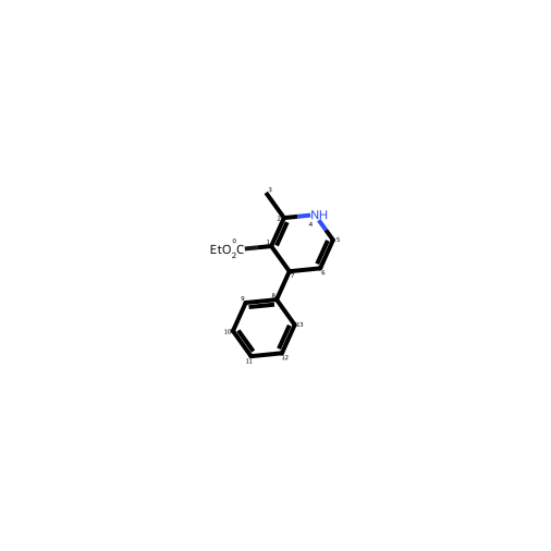 CCOC(=O)C1=C(C)NC=CC1c1ccccc1